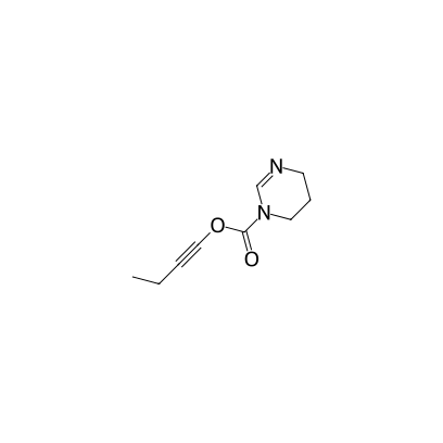 CCC#COC(=O)N1C=NCCC1